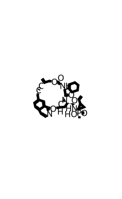 C=CC1CC1(NC(=O)[C@@H]1C[C@@H]2CN1C(=O)[C@H](C1CCCCC1)NC(=O)OCC(=C)CCCc1ccc3ccnc(c3c1)O2)P(C)(=O)O